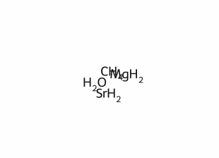 C.O.[MgH2].[SrH2]